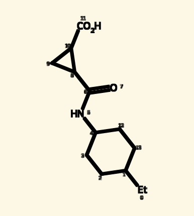 CCC1CCC(NC(=O)C2CC2C(=O)O)CC1